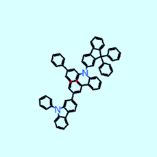 c1ccc(-c2cccc(N(c3ccc4c(c3)C(c3ccccc3)(c3ccccc3)c3ccccc3-4)c3ccccc3-c3cccc(-c4ccc5c6ccccc6n(-c6ccccc6)c5c4)c3)c2)cc1